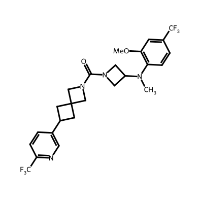 COc1cc(C(F)(F)F)ccc1N(C)C1CN(C(=O)N2CC3(CC(c4ccc(C(F)(F)F)nc4)C3)C2)C1